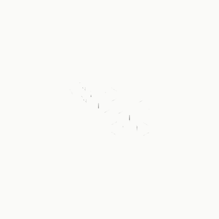 C1=CC2c3ccccc3-c3c(cc(-c4ccc(-c5cn6ccccc6n5)c5ccccc45)c4ccccc34)C2C=C1